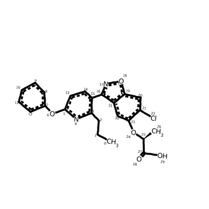 CCCc1nc(Oc2ccccc2)ccc1-c1noc2cc(Cl)c(O[C@@H](C)C(=O)O)cc12